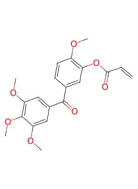 C=CC(=O)Oc1cc(C(=O)c2cc(OC)c(OC)c(OC)c2)ccc1OC